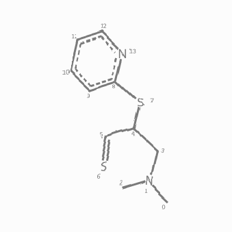 CN(C)CC([C]=S)Sc1ccccn1